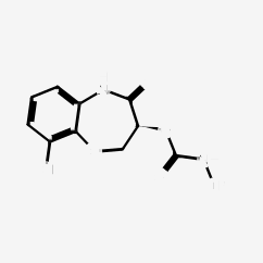 CC(C)(C)NC(=O)O[C@H]1COc2c(cccc2C(F)(F)F)NC1=O